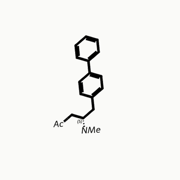 CN[C@H](CC(C)=O)Cc1ccc(-c2ccccc2)cc1